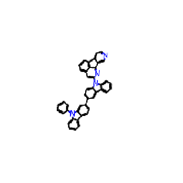 c1ccc(-n2c3ccccc3c3ccc(-c4ccc5c(c4)c4ccccc4n5-c4cc5cccc6c5c(n4)-c4cnccc4-6)cc32)cc1